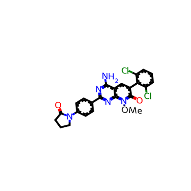 COn1c(=O)c(-c2c(Cl)cccc2Cl)cc2c(N)nc(-c3ccc(N4CCCC4=O)cc3)nc21